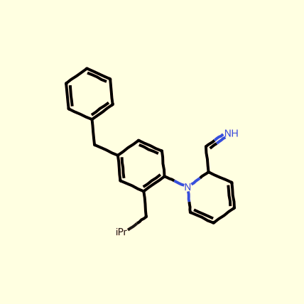 CC(C)Cc1cc(Cc2ccccc2)ccc1N1C=CC=CC1C=N